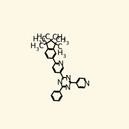 CC1(C)c2ccc(-c3ccc(-c4nc(-c5ccccc5)nc(-c5ccncc5)n4)cn3)cc2C(C)(C)C1(C)C